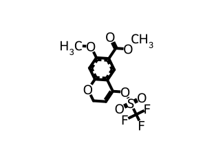 COC(=O)c1cc2c(cc1OC)OCC=C2OS(=O)(=O)C(F)(F)F